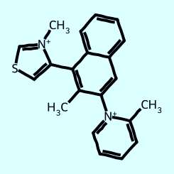 Cc1c(-[n+]2ccccc2C)cc2ccccc2c1-c1csc[n+]1C